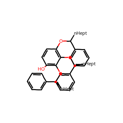 CCCCCCCC(Oc1ccc(O)c(OC(CCCCCCC)c2ccccc2)c1OC(CCCCCCC)c1ccccc1)c1ccccc1